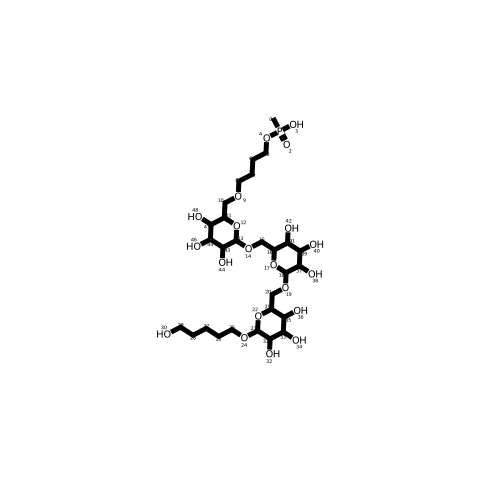 CP(=O)(O)OCCCCOCC1OC(OCC2OC(OCC3OC(OCCCCCO)C(O)C(O)C3O)C(O)C(O)C2O)C(O)C(O)C1O